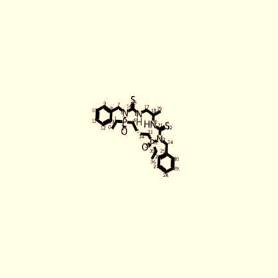 CCP(=O)(CC)N(Cc1ccccc1)C(=S)NCC(C)NC(=S)N(Cc1ccccc1)P(=O)(CC)CC